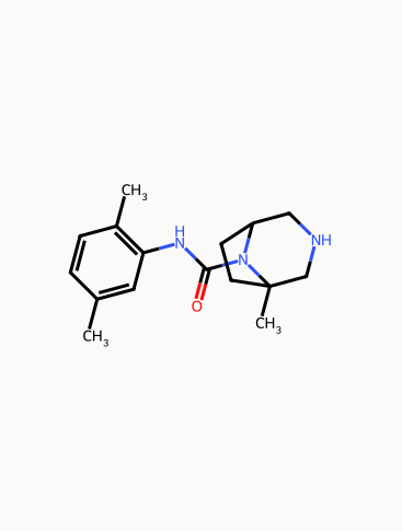 Cc1ccc(C)c(NC(=O)N2C3CCC2(C)CNC3)c1